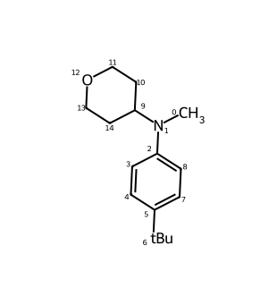 CN(c1ccc(C(C)(C)C)cc1)C1CCOCC1